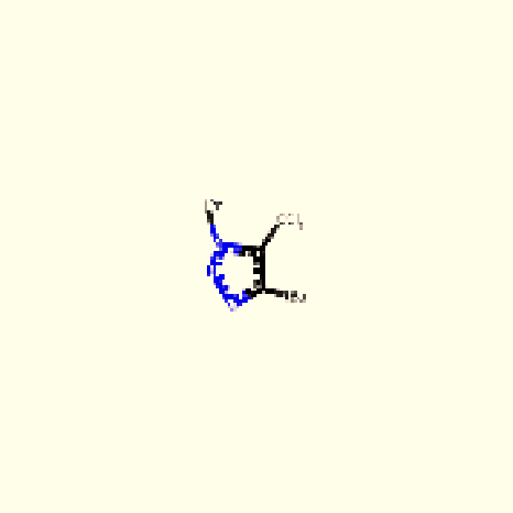 CC(C)n1nnc(C(C)(C)C)c1C(Cl)(Cl)Cl